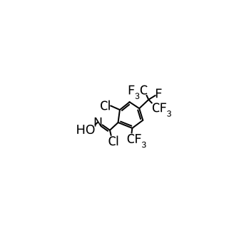 O/N=C(\Cl)c1c(Cl)cc(C(F)(C(F)(F)F)C(F)(F)F)cc1C(F)(F)F